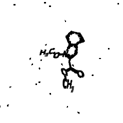 COC(=O)c1cc2ccccc2n1OC